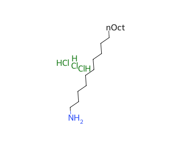 CCCCCCCCCCCCCCCCCCN.Cl.Cl.Cl